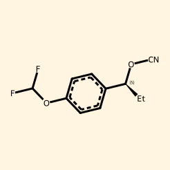 CC[C@H](OC#N)c1ccc(OC(F)F)cc1